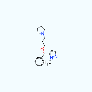 Cn1nccc1C(OCCCN1CCCC1)c1ccccc1